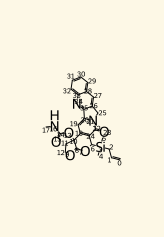 C=CC[Si](C)(C)C1OC(=O)C(CC)(OC(=O)NC)c2cc3n(c(=O)c21)Cc1cc2ccccc2nc1-3